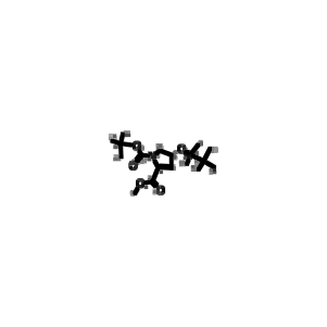 COC(=O)C1=C[C@@H](O[Si](C)(C)C(C)(C)C)CN1C(=O)OC(C)(C)C